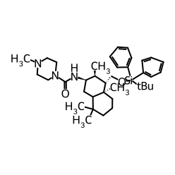 C[C@@H]1[C@H](NC(=O)N2CCN(C)CC2)CC2C(C)(C)CCC[C@]2(C)[C@H]1CO[Si](c1ccccc1)(c1ccccc1)C(C)(C)C